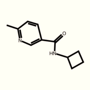 Cc1ccc(C(=O)NC2CCC2)cn1